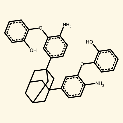 Nc1ccc(C23CC4CC(C2)CC(c2ccc(N)c(Oc5ccccc5O)c2)(C4)C3)cc1Oc1ccccc1O